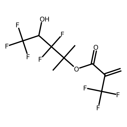 C=C(C(=O)OC(C)(C)C(F)(F)C(O)C(F)(F)F)C(F)(F)F